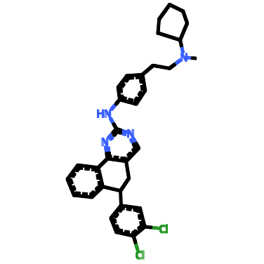 CN(CCc1ccc(Nc2ncc3c(n2)-c2ccccc2C(c2ccc(Cl)c(Cl)c2)C3)cc1)C1CCCCC1